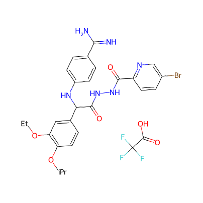 CCOc1cc(C(Nc2ccc(C(=N)N)cc2)C(=O)NNC(=O)c2ccc(Br)cn2)ccc1OC(C)C.O=C(O)C(F)(F)F